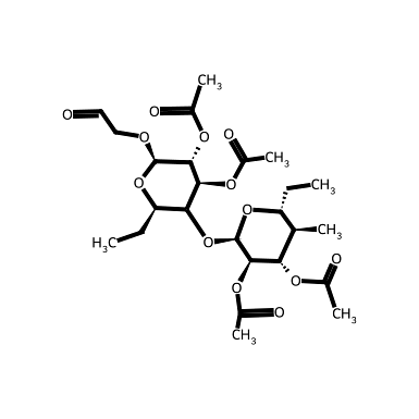 CC[C@H]1O[C@@H](OCC=O)[C@H](OC(C)=O)[C@@H](OC(C)=O)C1O[C@H]1O[C@H](CC)[C@@H](C)[C@H](OC(C)=O)[C@H]1OC(C)=O